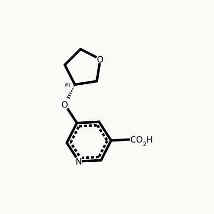 O=C(O)c1cncc(O[C@@H]2CCOC2)c1